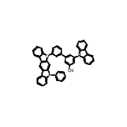 N#Cc1cc(-c2cccc(-n3c4ccccc4c4cc5c6ccccc6n(-c6ccccc6)c5cc43)c2)cc(-n2c3ccccc3c3ccccc32)c1